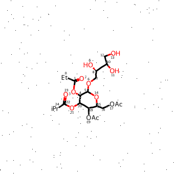 CCC(=O)OC1C(OC[C@@H](O)C(O)CO)OC(COC(C)=O)C(OC(C)=O)C1OC(=O)C(C)C